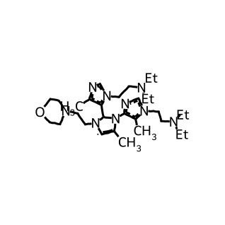 CCN(CC)CCn1cnc(N2C(C)=[C]N(CCN3CCOCC3)C2c2c(C)ncn2CCN(CC)CC)c1C